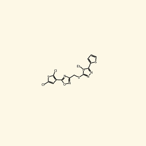 CCn1c(SCc2noc(-c3cc(Cl)sc3Cl)n2)nnc1-c1cccs1